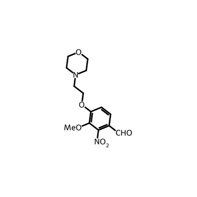 COc1c(OCCN2CCOCC2)ccc(C=O)c1[N+](=O)[O-]